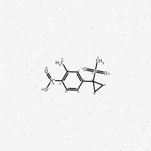 Cc1cc(C2(S(C)(=O)=O)CC2)ccc1[N+](=O)[O-]